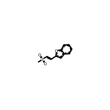 CS(=O)(=O)C=Cc1cc2ccccc2o1